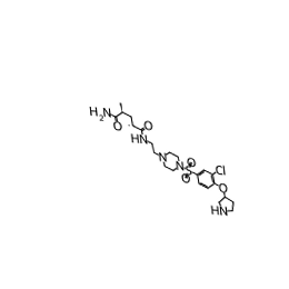 C[C@@H](C[CH]C(=O)NCCN1CCN(S(=O)(=O)c2ccc(O[C@H]3CCNC3)c(Cl)c2)CC1)C(N)=O